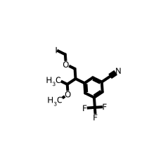 COC(C)C(COCI)c1cc(C#N)cc(C(F)(F)F)c1